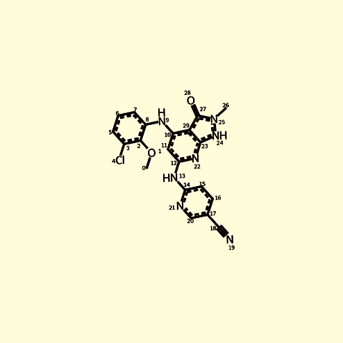 COc1c(Cl)cccc1Nc1cc(Nc2ccc(C#N)cn2)nc2[nH]n(C)c(=O)c12